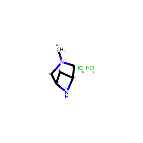 CN1CC2CC(C1)N2.Cl.Cl